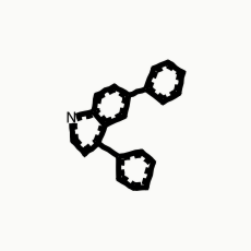 c1ccc(-c2ccc3nccc(-c4ccccc4)c3c2)cc1